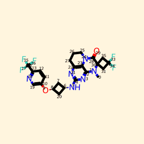 CN1c2nc(N[C@H]3C[C@@H](Oc4ccc(C(F)(F)F)nc4)C3)nc3c2N(CCC3)C(=O)C12CC(F)(F)C2